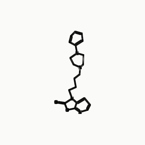 O=c1oc2ncccc2n1CCCCN1CCN(c2ccccc2)CC1